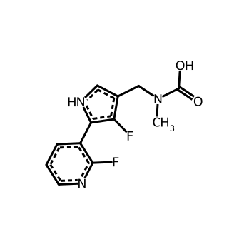 CN(Cc1c[nH]c(-c2cccnc2F)c1F)C(=O)O